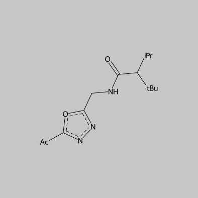 CC(=O)c1nnc(CNC(=O)C(C(C)C)C(C)(C)C)o1